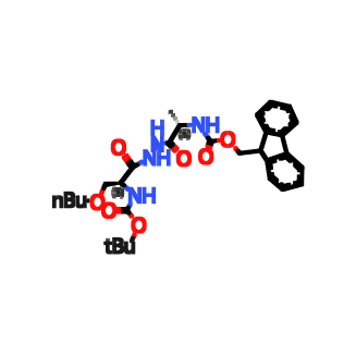 CCCCOC[C@H](NC(=O)OC(C)(C)C)C(=O)NNC(=O)[C@H](C)NC(=O)OCC1c2ccccc2-c2ccccc21